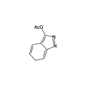 CC(=O)OC1=C2C=CCC=C2N=N1